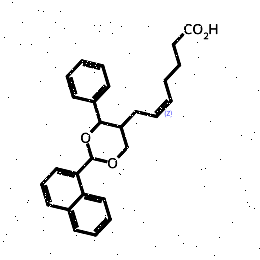 O=C(O)CCC/C=C\CC1COC(c2cccc3ccccc23)OC1c1ccccc1